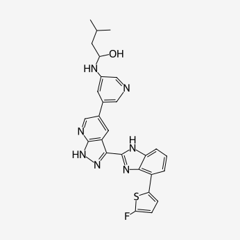 CC(C)CC(O)Nc1cncc(-c2cnc3[nH]nc(-c4nc5c(-c6ccc(F)s6)cccc5[nH]4)c3c2)c1